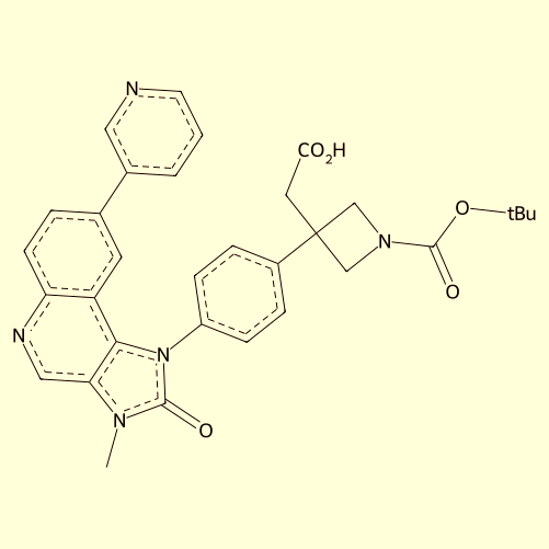 Cn1c(=O)n(-c2ccc(C3(CC(=O)O)CN(C(=O)OC(C)(C)C)C3)cc2)c2c3cc(-c4cccnc4)ccc3ncc21